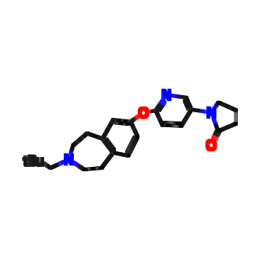 CC(C)(C)CN1CCc2ccc(Oc3ccc(N4CCCC4=O)cn3)cc2CC1